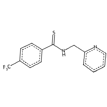 FC(F)(F)c1ccc(C(=S)NCc2ccccn2)cc1